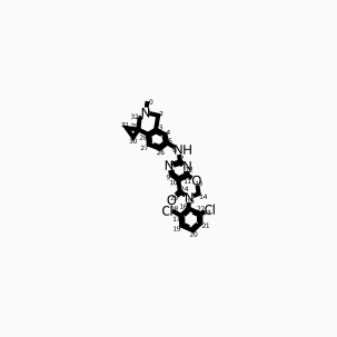 CN1Cc2cc(Nc3ncc4c(n3)OCN(c3c(Cl)cccc3Cl)C4=O)ccc2C2(CC2)C1